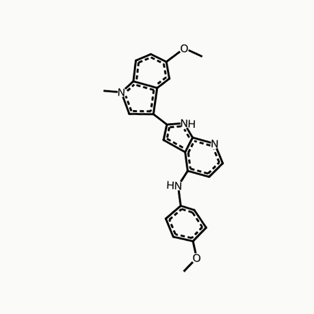 COc1ccc(Nc2ccnc3[nH]c(-c4cn(C)c5ccc(OC)cc45)cc23)cc1